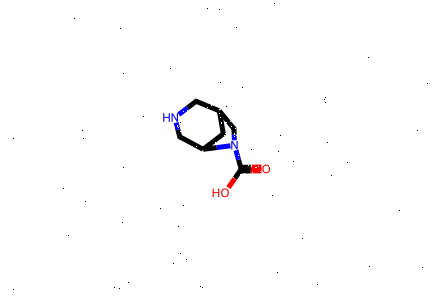 O=C(O)N1CC2CNCC1C2